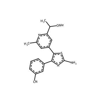 COC(C)c1cc(-c2sc(N)nc2-c2cccc(C#N)c2)cc(C)n1